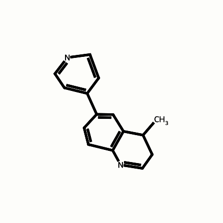 CC1CC=Nc2ccc(-c3ccncc3)cc21